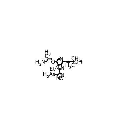 CCn1c(-c2nonc2[AsH2])nc2c(C#CC(C)(C)O)ncc(OC[C@@H](C)CN)c21